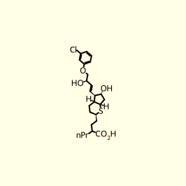 CCCC(CC[C@H]1CC[C@@H]2[C@@H](/C=C/[C@@H](O)COc3cccc(Cl)c3)[C@H](O)C[C@@H]2S1)C(=O)O